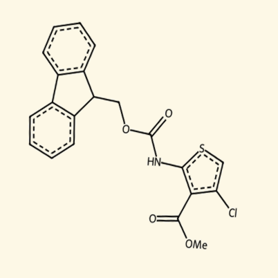 COC(=O)c1c(Cl)csc1NC(=O)OCC1c2ccccc2-c2ccccc21